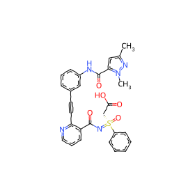 Cc1cc(C(=O)Nc2cccc(C#Cc3ncccc3C(=O)N=[S@](=O)(CC(=O)O)c3ccccc3)c2)n(C)n1